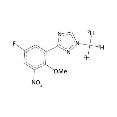 [2H]C([2H])([2H])n1cnc(-c2cc(F)cc([N+](=O)[O-])c2OC)n1